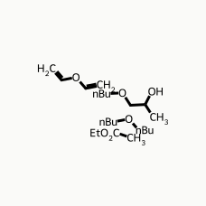 C=COC=C.CCCCOCC(C)O.CCCCOCCCC.CCOC(C)=O